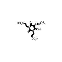 C/N=N/c1c(O)n(CCC(=O)O)c(=S)n(CCC(=O)O)c1=O